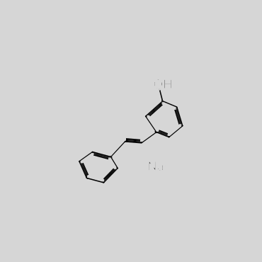 Oc1cccc(C=Cc2ccccc2)c1.[Na]